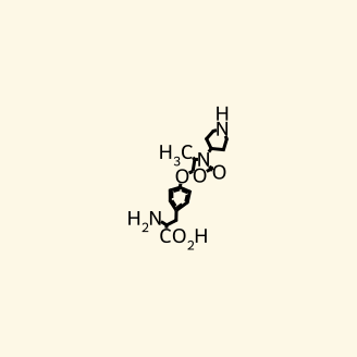 CC1C(Oc2ccc(CC(N)C(=O)O)cc2)OC(=O)N1C1CCNCC1